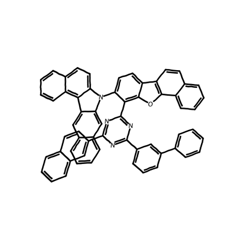 c1ccc(-c2cccc(-c3nc(-c4ccc5ccccc5c4)nc(-c4c(-n5c6cc7ccccc7cc6c6c7ccccc7ccc65)ccc5c4oc4c6ccccc6ccc54)n3)c2)cc1